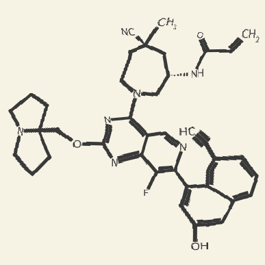 C#Cc1cccc2cc(O)cc(-c3ncc4c(N5CC[C@@](C)(C#N)C[C@H](NC(=O)C=C)C5)nc(OCC56CCCN5CCC6)nc4c3F)c12